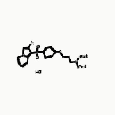 CCCCCN(CCCCC)CCCOc1ccc(S(=O)(=O)c2c(CC)cn3ccccc23)cc1.Cl